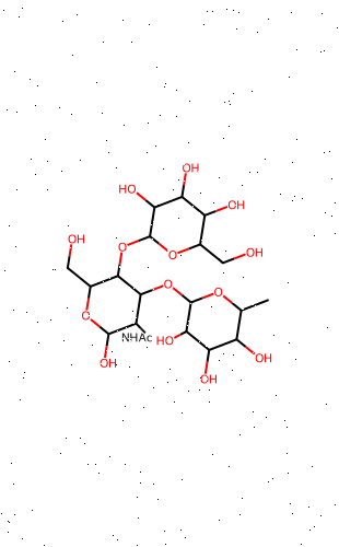 CC(=O)NC1C(O)OC(CO)C(OC2OC(CO)C(O)C(O)C2O)C1OC1OC(C)C(O)C(O)C1O